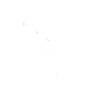 CCC(C)ON=[N+]=[N-]